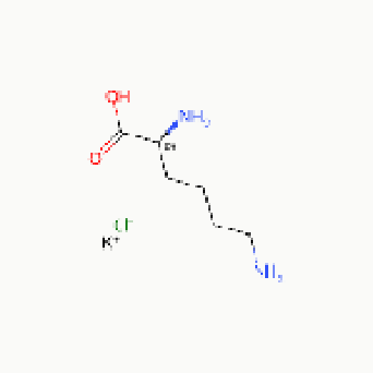 NCCCC[C@H](N)C(=O)O.[Cl-].[K+]